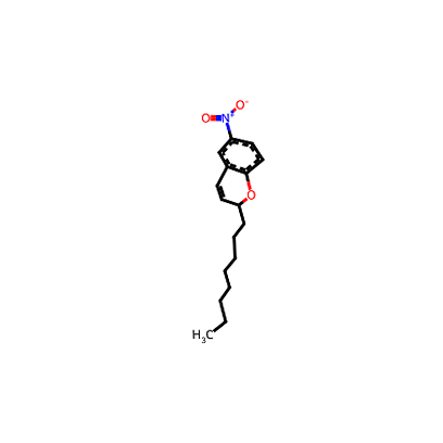 CCCCCCCCC1C=Cc2cc([N+](=O)[O-])ccc2O1